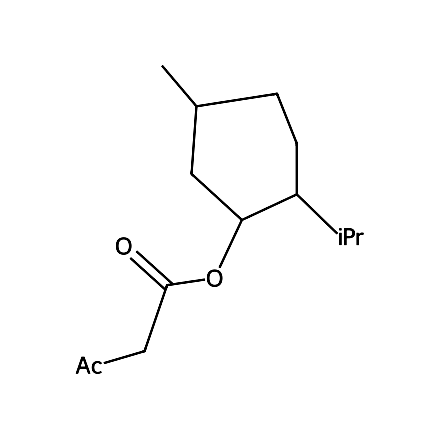 CC(=O)CC(=O)OC1CC(C)CCC1C(C)C